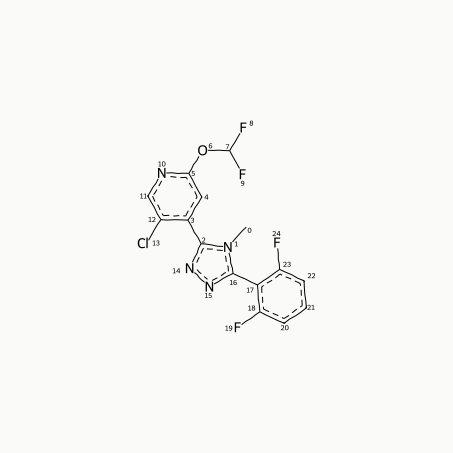 Cn1c(-c2cc(OC(F)F)ncc2Cl)nnc1-c1c(F)cccc1F